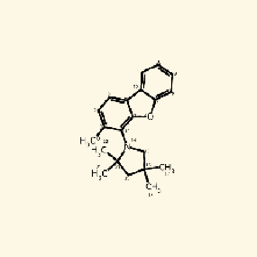 Cc1ccc2c(oc3ccccc32)c1N1CC(C)(C)CC1(C)C